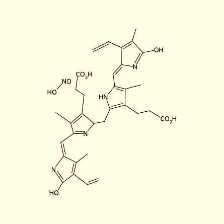 C=CC1=C(C)C(O)=NC1=Cc1[nH]c(CC2N=C(C=C3N=C(O)C(C=C)=C3C)C(C)=C2CCC(=O)O)c(CCC(=O)O)c1C.O=NO